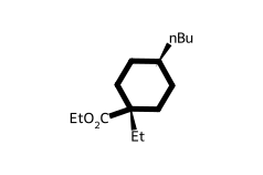 CCCC[C@H]1CC[C@](CC)(C(=O)OCC)CC1